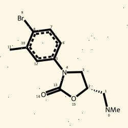 CNC[C@H]1CN(c2ccc(Br)c(C)c2)C(=O)O1